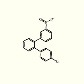 O=[N+]([O-])c1cccc(-c2ccccc2-c2ccc(Br)cc2)c1